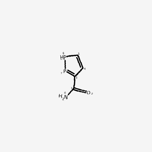 NC(=O)c1cc[pH]p1